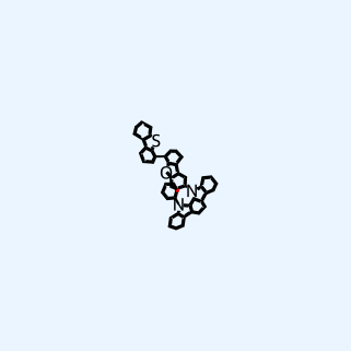 c1ccc(-n2c3ccccc3c3ccc4c5ccccc5n(-c5ccc6oc7c(-c8cccc9c8sc8ccccc89)cccc7c6c5)c4c32)cc1